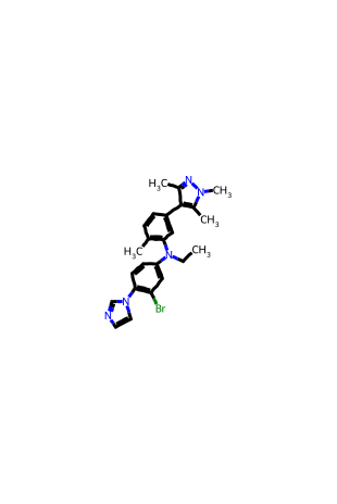 CCN(c1ccc(-n2ccnc2)c(Br)c1)c1cc(-c2c(C)nn(C)c2C)ccc1C